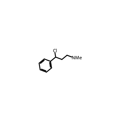 CNCCC(Cl)c1ccccc1